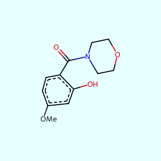 COc1ccc(C(=O)N2CCOCC2)c(O)c1